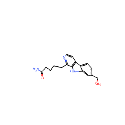 NC(=O)CCCCc1nccc2c1[nH]c1cc(CO)ccc12